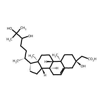 C[C@H](CCC(O)C(C)(C)O)[C@H]1CC[C@H]2[C@@H]3CC=C4C[C@@](O)(CC(=O)O)CC[C@]4(C)[C@H]3CC[C@]12C